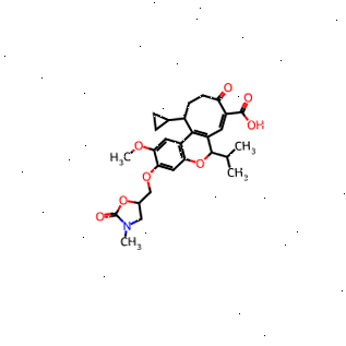 COc1cc2c(cc1OCC1CN(C)C(=O)O1)OC(C(C)C)C1=C2C(C2CC2)CCC(=O)/C(C(=O)O)=C\1